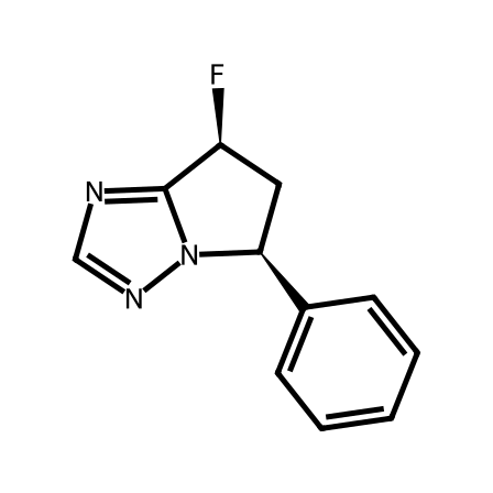 F[C@H]1C[C@@H](c2ccccc2)n2ncnc21